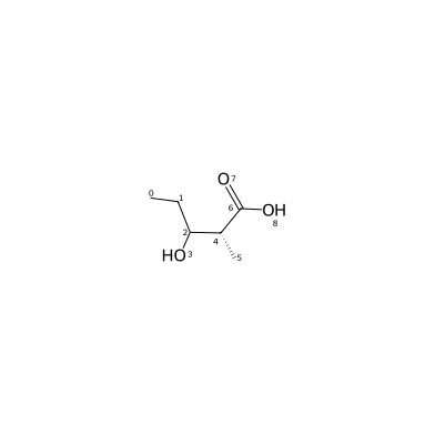 CCC(O)[C@@H](C)C(=O)O